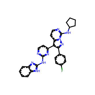 Fc1ccc(-c2nn3c(NC4CCCC4)nccc3c2-c2ccnc(Nc3nc4ccccc4[nH]3)n2)cc1